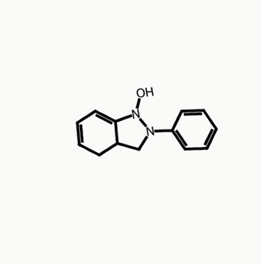 ON1C2=CC=CCC2CN1c1ccccc1